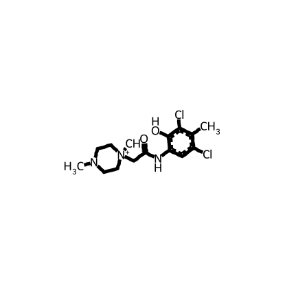 Cc1c(Cl)cc(NC(=O)C[N+]2(C)CCN(C)CC2)c(O)c1Cl